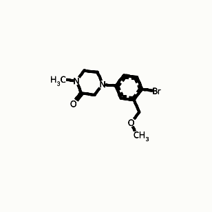 COCc1cc(N2CCN(C)C(=O)C2)ccc1Br